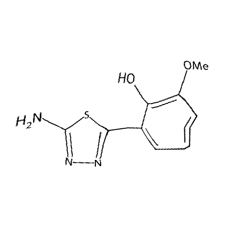 COc1cccc(-c2nnc(N)s2)c1O